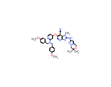 COc1ccc(CN(Cc2ccc(OC)cc2)c2cc(Oc3cnc4nc(Nc5cc6n(n5)CC(C)(C)OC6)n(C)c4c3C#N)ccn2)cc1